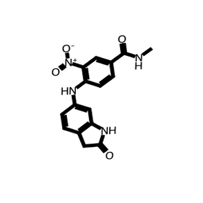 CNC(=O)c1ccc(Nc2ccc3c(c2)NC(=O)C3)c([N+](=O)[O-])c1